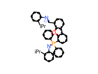 CC(C)c1ccccc1N=P(c1ccccc1)(c1ccccc1)c1cccc2c1oc1c(/C=N/c3ccccc3C(C)C)cccc12